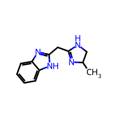 CC1CNC(Cc2nc3ccccc3[nH]2)=N1